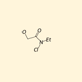 CCN(Cl)C(=O)C[O]